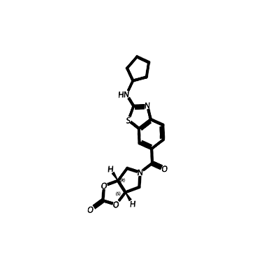 O=C1O[C@H]2CN(C(=O)c3ccc4nc(NC5CCCC5)sc4c3)C[C@H]2O1